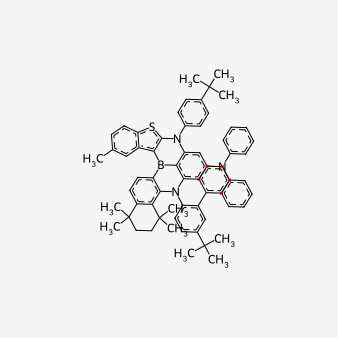 Cc1ccc2sc3c(c2c1)B1c2ccc4c(c2N(c2ccc(C(C)(C)C)cc2-c2ccccc2)c2cc(N(c5ccccc5)c5ccccc5)cc(c21)N3c1ccc(C(C)(C)C)cc1)C(C)(C)CCC4(C)C